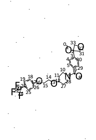 COC1(c2ccc(C(=O)N3CCC(OCCOc4ccc(C(F)(F)F)cc4)CC3)cc2)COC1